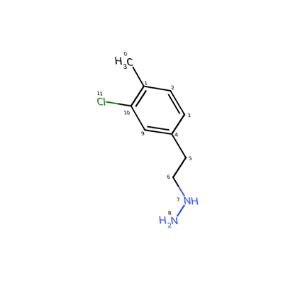 Cc1ccc(CCNN)cc1Cl